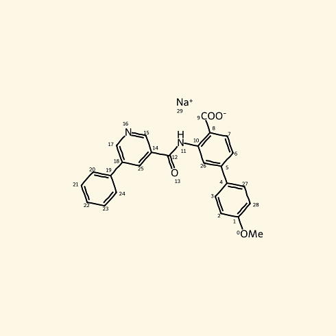 COc1ccc(-c2ccc(C(=O)[O-])c(NC(=O)c3cncc(-c4ccccc4)c3)c2)cc1.[Na+]